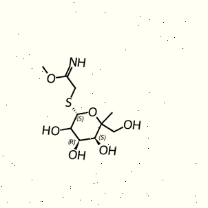 COC(=N)CS[C@@H]1OC(C)(CO)[C@@H](O)[C@@H](O)C1O